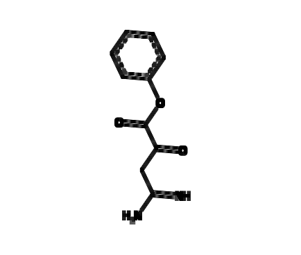 N=C(N)CC(=O)C(=O)Oc1ccccc1